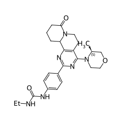 CCNC(=O)Nc1ccc(-c2nc3c(c(N4CCOC[C@@H]4C)n2)CCN2C(=O)CCCC32)cc1